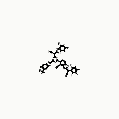 N#CC(=C1N=c2c(F)c(F)c(F)c(F)c2=N1)c1nc(-c2nc3cc(C(F)(F)F)c(F)cc3o2)nc(-c2ccc3c(c2C#N)=N/C(=C(\C#N)c2c(F)c(F)c(F)c(F)c2F)N=3)n1